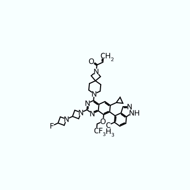 C=CC(=O)N1CC2(CCN(c3nc(N4CC(N5CC(F)C5)C4)nc4c(OCC(F)(F)F)c(-c5c(C)ccc6[nH]ncc56)c(C5CC5)cc34)CC2)C1